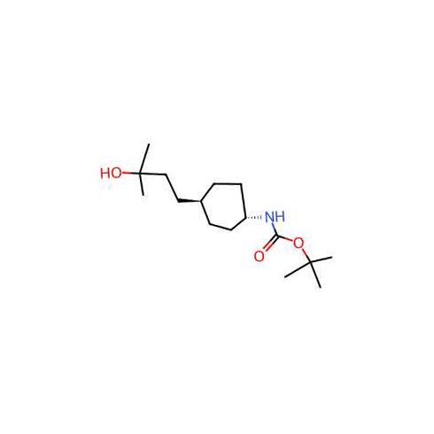 CC(C)(O)CC[C@H]1CC[C@H](NC(=O)OC(C)(C)C)CC1